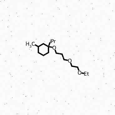 CCOCCOCCCOC1(C(C)C)CCCC(C)C1